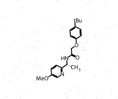 COc1ccc([C@@H](C)NC(=O)COc2ccc(C(C)(C)C)cc2)nc1